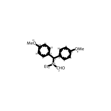 [CH2]CN(C=O)C(c1ccc(OC)cc1)c1ccc(OC)cc1